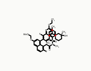 COCOc1cc(-c2c([N+](=O)[O-])cc3c(N4CCC[C@@](C)(O)C4)nc(OCC(F)(F)F)nc3c2F)c2c(CC(=O)N(C)S(=O)(=O)c3ccc(C)cc3)c(F)ccc2c1